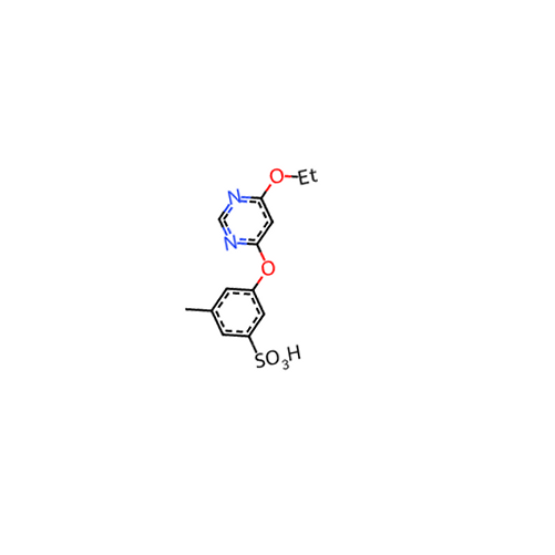 CCOc1cc(Oc2cc(C)cc(S(=O)(=O)O)c2)ncn1